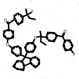 CCC(C)(F)c1ccc(C(=O)c2ccc(Oc3ccc(C4(c5ccc(OC(C)(CC)c6ccc(C(=O)c7ccc(F)cc7)cc6)cc5)c5ccccc5-c5ccccc54)cc3)cc2)cc1